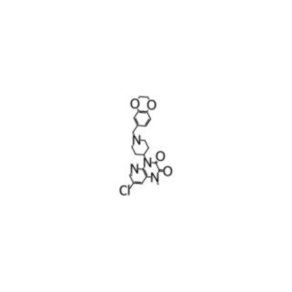 Cn1c(=O)c(=O)n(C2CCN(Cc3ccc4c(c3)OCCO4)CC2)c2ncc(Cl)cc21